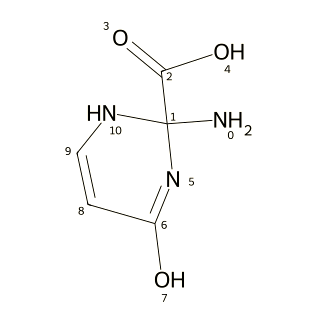 NC1(C(=O)O)N=C(O)C=CN1